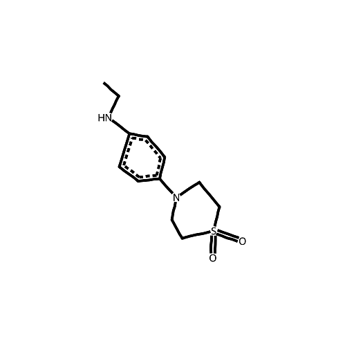 CCNc1ccc(N2CCS(=O)(=O)CC2)cc1